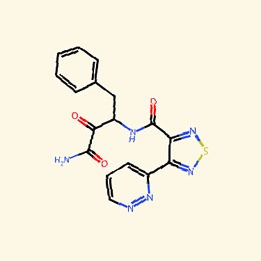 NC(=O)C(=O)C(Cc1ccccc1)NC(=O)c1nsnc1-c1cccnn1